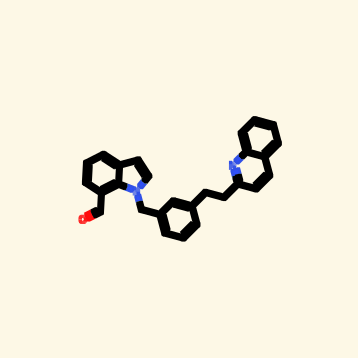 O=Cc1cccc2ccn(Cc3cccc(CCc4ccc5ccccc5n4)c3)c12